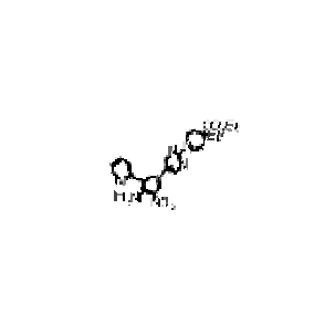 CCOC(=O)C1(CC)CCN(c2ncc(-c3cc(-c4ccccn4)c(N)c([N+](=O)[O-])c3)cn2)CC1